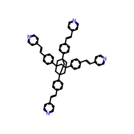 C(=Cc1ccc(C23CC4(c5ccc(C=Cc6ccncc6)cc5)CC(c5ccc(C=Cc6ccncc6)cc5)(C2)CC(c2ccc(C=Cc5ccncc5)cc2)(C3)C4)cc1)c1ccncc1